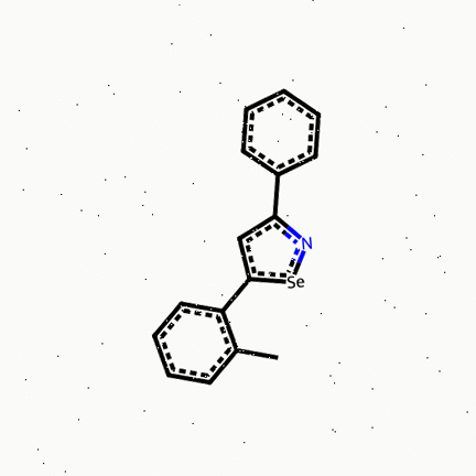 Cc1ccccc1-c1cc(-c2ccccc2)n[se]1